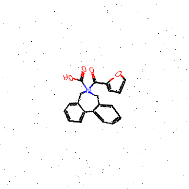 O=C(O)[N+]1(C(=O)c2ccco2)Cc2ccccc2-c2ccccc2C1